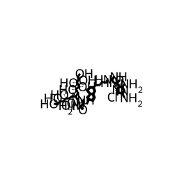 N=C(NCCCCc1ccc2cc(C[C@H](NCN(C[C@H](O)[C@@H](O)[C@H](O)[C@H](O)CO)C[C@H](O)[C@@H](O)[C@H](O)[C@H](O)CO)C(N)=O)ccc2c1)NC(=O)c1nc(Cl)c(N)nc1N